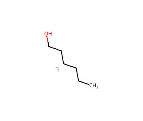 CCCCCCO.[Ti]